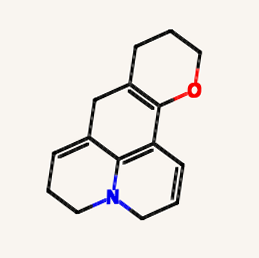 C1=CC2=C3C(=CCCN3C1)CC1=C2OCCC1